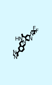 C=C(Nc1cc2cc(-c3cncn3C)ccc2cn1)c1ccnc(N2CC(F)(F)C2)c1